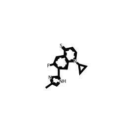 Cc1c[nH]c(-c2cc3c(cc2F)c(=S)ccn3C2CC2)n1